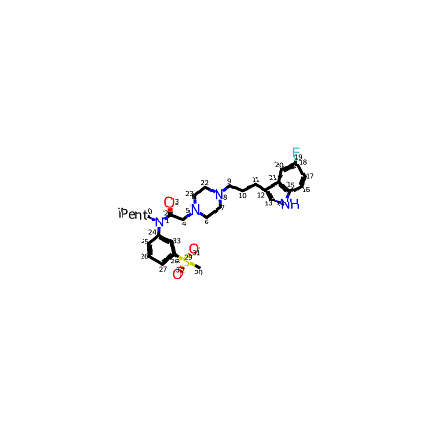 CCCC(C)N(C(=O)CN1CCN(CCCc2c[nH]c3ccc(F)cc23)CC1)c1cccc(S(C)(=O)=O)c1